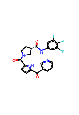 O=C(c1cccnc1)c1ccc(C(=O)N2CC[C@H](C(=O)Nc3cc(F)c(F)c(F)c3)C2)[nH]1